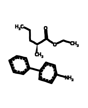 CCC[C@@H](C)C(=O)OCC.Nc1ccc(-c2ccccc2)cc1